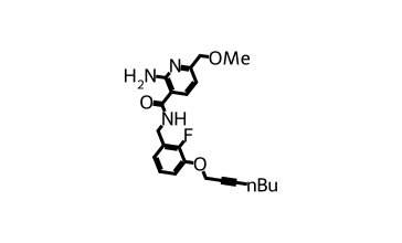 CCCCC#CCOc1cccc(CNC(=O)c2ccc(COC)nc2N)c1F